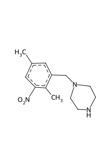 Cc1cc(CN2CCNCC2)c(C)c([N+](=O)[O-])c1